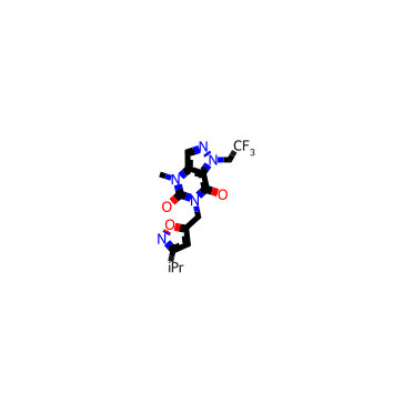 CC(C)c1cc(Cn2c(=O)c3c(cnn3CC(F)(F)F)n(C)c2=O)on1